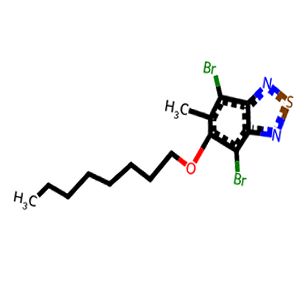 CCCCCCCCOc1c(C)c(Br)c2nsnc2c1Br